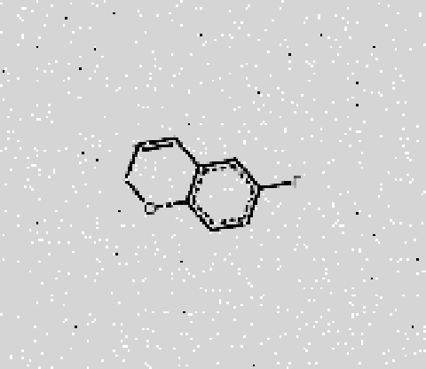 Fc1ccc2c(c1)C=[C]CO2